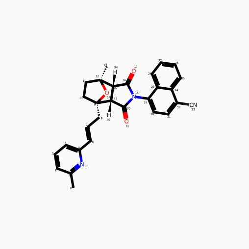 Cc1cccc(/C=C/C[C@]23CC[C@](C)(O2)[C@@H]2C(=O)N(c4ccc(C#N)c5ccccc45)C(=O)[C@@H]23)n1